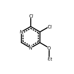 CCOc1ncnc(Cl)c1Cl